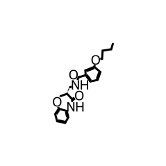 CCCCOc1cccc(C(=O)NC[C@H]2COc3ccccc3NC2=O)c1